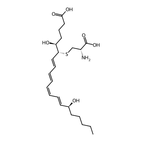 CCCCC[C@H](O)/C=C/C=C\C=C\C=C\[C@@H](SC[C@@H](N)C(=O)O)[C@@H](O)CCCC(=O)O